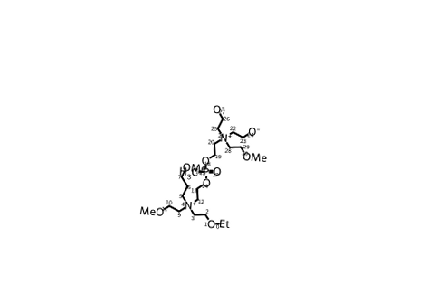 CCOCC[N+](CCCOC)(CCOC)CCOP(C)(=O)OCC[N+](CC[O-])(CC[O-])CCOC